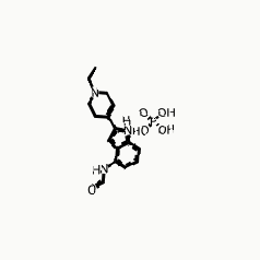 CCN1CC=C(c2cc3c(NC=O)cccc3[nH]2)CC1.O=P(O)(O)O